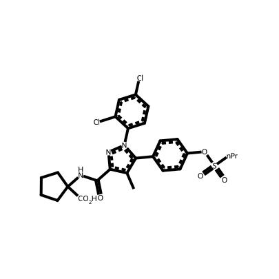 CCCS(=O)(=O)Oc1ccc(-c2c(C)c(C(=O)NC3(C(=O)O)CCCC3)nn2-c2ccc(Cl)cc2Cl)cc1